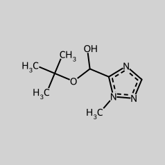 Cn1ncnc1C(O)OC(C)(C)C